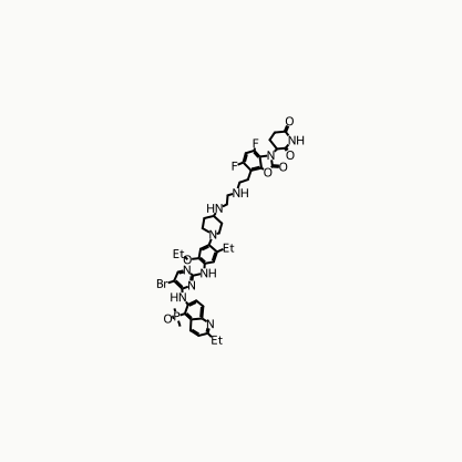 CCOc1cc(N2CCC(NCCNCCc3c(F)cc(F)c4c3oc(=O)n4C3CCC(=O)NC3=O)CC2)c(CC)cc1Nc1ncc(Br)c(Nc2ccc3nc(CC)ccc3c2P(C)(C)=O)n1